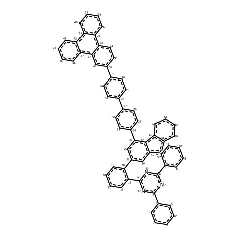 c1ccc(-c2nc(-c3ccccc3)nc(-c3ccccc3-c3cc(-c4ccc(-c5ccc(-c6ccc7c8ccccc8c8ccccc8c7c6)cc5)cc4)c4c(c3)sc3ccccc34)n2)cc1